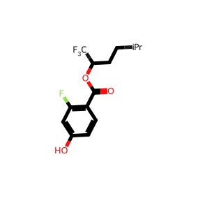 CC(C)CCC(OC(=O)c1ccc(O)cc1F)C(F)(F)F